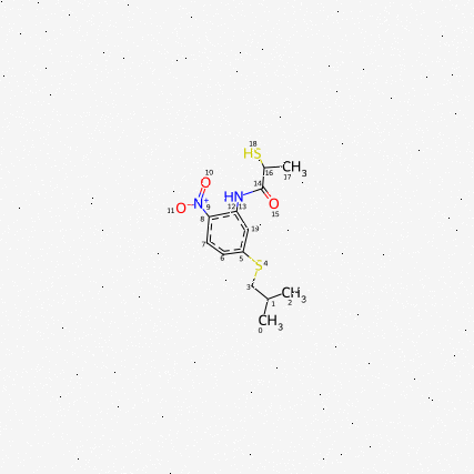 CC(C)CSc1ccc([N+](=O)[O-])c(NC(=O)C(C)S)c1